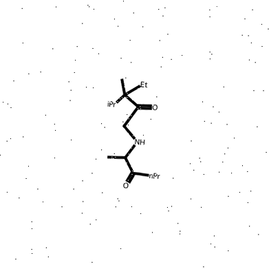 CCCC(=O)C(C)NCC(=O)C(C)(CC)C(C)C